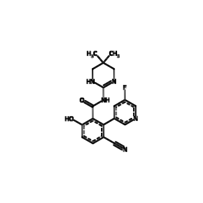 CC1(C)CN=C(NC(=O)c2c(O)ccc(C#N)c2-c2cncc(F)c2)NC1